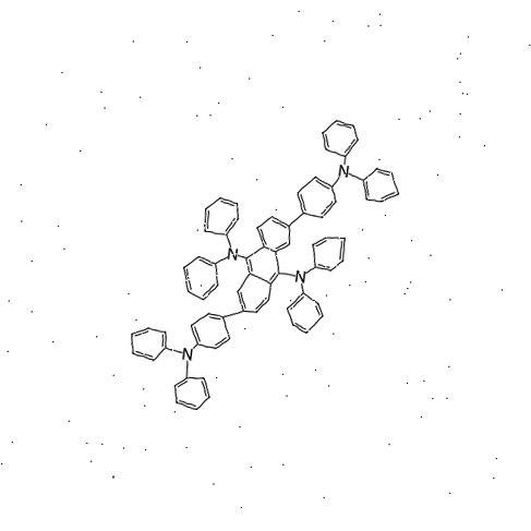 c1ccc(N(c2ccccc2)c2ccc(-c3ccc4c(N(c5ccccc5)c5ccccc5)c5cc(-c6ccc(N(c7ccccc7)c7ccccc7)cc6)ccc5c(N(c5ccccc5)c5ccccc5)c4c3)cc2)cc1